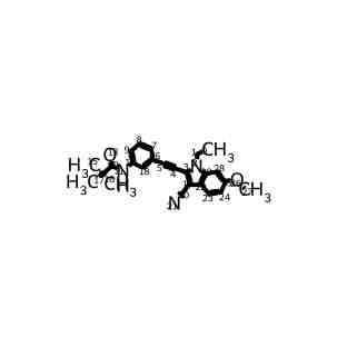 CCn1c(C#Cc2cccc(NC(=O)C(C)(C)C)c2)c(C#N)c2ccc(OC)cc21